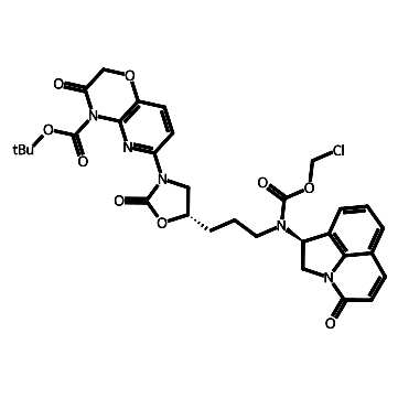 CC(C)(C)OC(=O)N1C(=O)COc2ccc(N3C[C@H](CCCN(C(=O)OCCl)[C@@H]4Cn5c(=O)ccc6cccc4c65)OC3=O)nc21